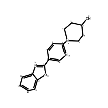 N#CC1CCN(c2ccc(-c3nc4ccccc4o3)cn2)CC1